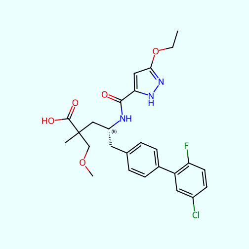 CCOc1cc(C(=O)N[C@H](Cc2ccc(-c3cc(Cl)ccc3F)cc2)CC(C)(COC)C(=O)O)[nH]n1